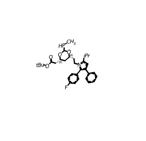 CPC1O[C@H](CCn2c(C(C)C)cc(-c3ccccc3)c2-c2ccc(F)cc2)C[C@H](CC(=O)OC(C)(C)C)O1